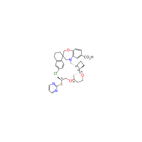 C[C@@H](CO[C@@H]1CCO[C@@H]([C@@H]2CC[C@H]2CN2CC3(CCCc4cc(Cl)ccc43)COc3ccc(C(=O)O)cc32)C1)Sc1ncccn1